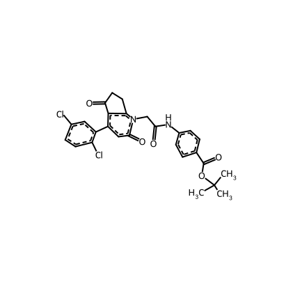 CC(C)(C)OC(=O)c1ccc(NC(=O)Cn2c3c(c(-c4cc(Cl)ccc4Cl)cc2=O)C(=O)CC3)cc1